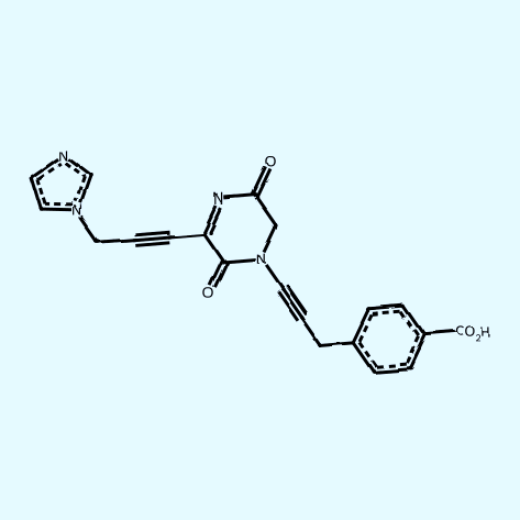 O=C1CN(C#CCc2ccc(C(=O)O)cc2)C(=O)C(C#CCn2ccnc2)=N1